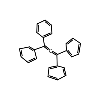 C(=C(c1ccccc1)c1ccccc1)=C(c1ccccc1)c1ccccc1